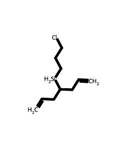 C=CCC(CC=C)[SiH2]CCCCl